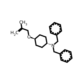 C=C(C)CO[C@H]1CC[C@H](N(Cc2ccccc2)Cc2ccccc2)CC1